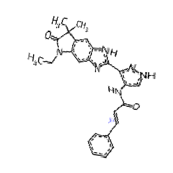 CCN1C(=O)C(C)(C)c2cc3[nH]c(-c4n[nH]cc4NC(=O)/C=C/c4ccccc4)nc3cc21